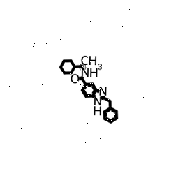 C[C@@H](NC(=O)c1ccc2[nH]c(Cc3ccccc3)nc2c1)C1CCCCC1